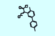 Cc1ccc(-c2ccc(C)c(C(=C=O)C(=O)Cl)c2)cc1